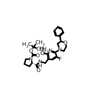 COc1nc(N2CCOC(c3ccccc3)C2)c(F)cc1CNC(=O)[C@@H]1CCCN1C(=O)OC(C)(C)C